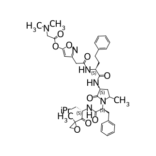 CC(C)C[C@H](NC(=O)[C@H](Cc1ccccc1)N1C(=O)[C@@H](NC(=O)[C@H](CCc2ccccc2)NC(=O)Cc2cc(OC(=O)CN(C)C)on2)CC1C)C(=O)C1(C)CO1